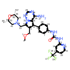 COCc1c(-c2ccc(NC(=O)Nc3cc(C(F)(F)F)ccn3)cc2)c2c(N)ncnn2c1CN1C[C@@H](C)O[C@@H](C)C1